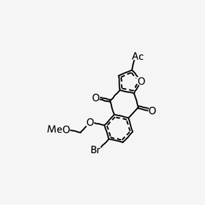 COCOc1c(Br)ccc2c1C(=O)c1cc(C(C)=O)oc1C2=O